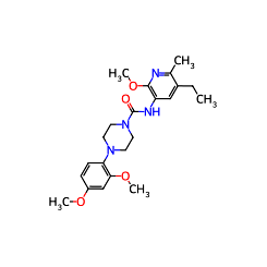 CCc1cc(NC(=O)N2CCN(c3ccc(OC)cc3OC)CC2)c(OC)nc1C